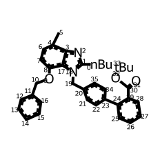 CCCCc1nc2c(C)ccc(OCc3ccccc3)c2n1Cc1ccc(-c2ccccc2C(=O)OC(C)(C)C)cc1